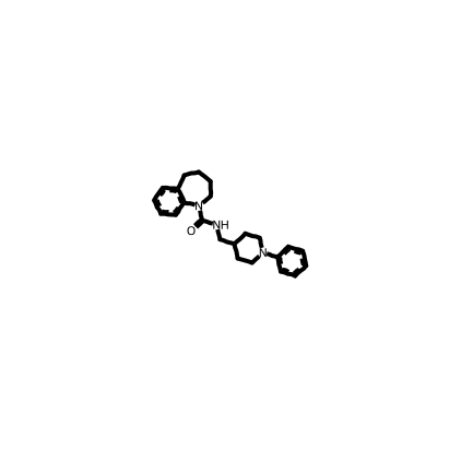 O=C(NCC1CCN(c2ccccc2)CC1)N1CCCCc2ccccc21